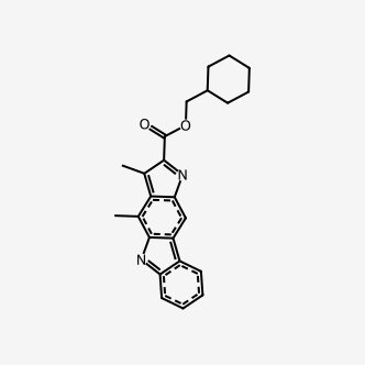 CC1=c2c(cc3c(c2C)N=c2ccccc2=3)N=C1C(=O)OCC1CCCCC1